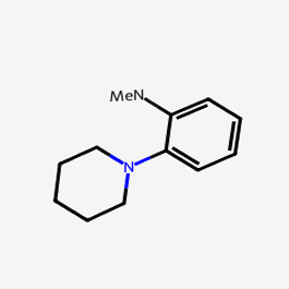 CNc1ccccc1N1CCCCC1